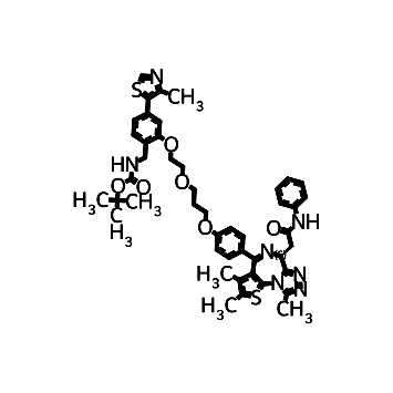 Cc1ncsc1-c1ccc(CNC(=O)OC(C)(C)C)c(OCCOCCCOc2ccc(C3=N[C@@H](CC(=O)Nc4ccccc4)c4nnc(C)n4-c4sc(C)c(C)c43)cc2)c1